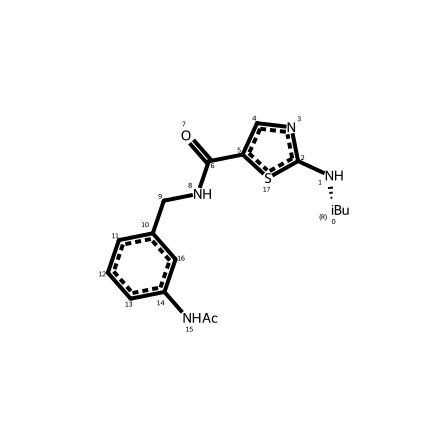 CC[C@@H](C)Nc1ncc(C(=O)NCc2cccc(NC(C)=O)c2)s1